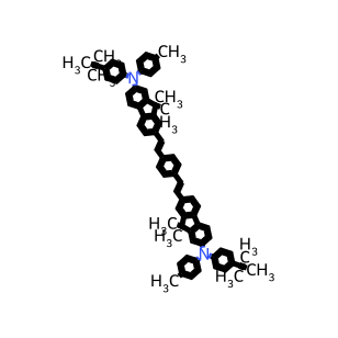 Cc1ccc(N(c2ccc(C(C)(C)C)cc2)c2ccc3c(c2)C(C)(C)c2cc(/C=C/c4ccc(/C=C/c5ccc6c(c5)C(C)(C)c5cc(N(c7ccc(C)cc7)c7ccc(C(C)(C)C)cc7)ccc5-6)cc4)ccc2-3)cc1